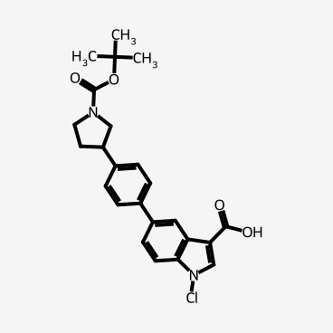 CC(C)(C)OC(=O)N1CCC(c2ccc(-c3ccc4c(c3)c(C(=O)O)cn4Cl)cc2)C1